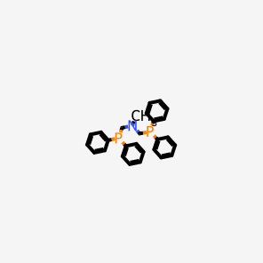 CN(CP(c1ccccc1)c1ccccc1)CP(c1ccccc1)c1ccccc1